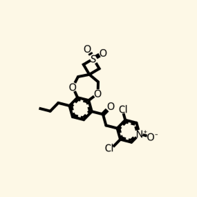 CCCc1ccc(C(=O)Cc2c(Cl)c[n+]([O-])cc2Cl)c2c1OCC1(CO2)CS(=O)(=O)C1